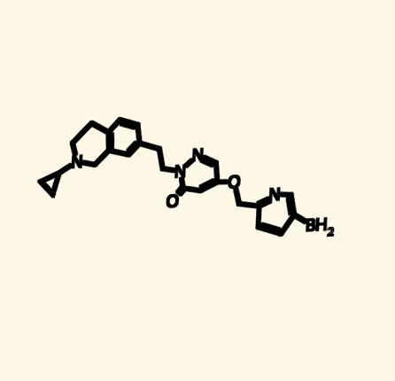 Bc1ccc(COc2cnn(CCc3ccc4c(c3)CN(C3CC3)CC4)c(=O)c2)nc1